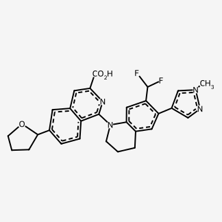 Cn1cc(-c2cc3c(cc2C(F)F)N(c2nc(C(=O)O)cc4cc(C5CCCO5)ccc24)CCC3)cn1